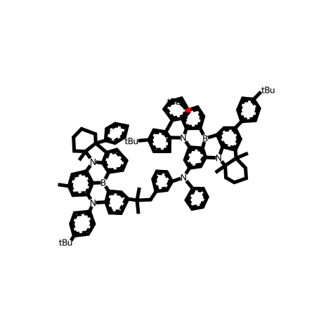 Cc1cc2c3c(c1)N1c4c(cccc4C4(c5ccccc5)CCCCC14C)B3c1cc(C(C)(C)Cc3cccc(N(c4ccccc4)c4cc5c6c(c4)N4c7c(cc(-c8ccc(C(C)(C)C)cc8)cc7C7(C)CCCCC47C)B6c4ccc(C(C)(C)C)cc4N5c4ccc(C(C)(C)C)cc4-c4ccccc4)c3)ccc1N2c1ccc(C(C)(C)C)cc1